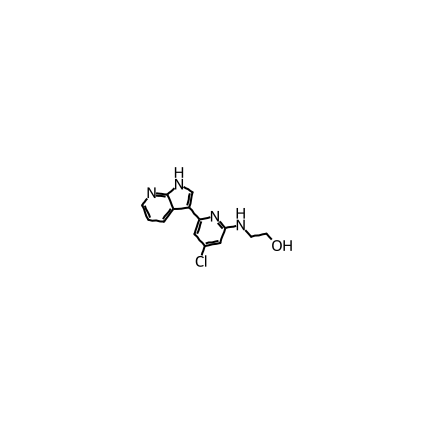 OCCNc1cc(Cl)cc(-c2c[nH]c3ncccc23)n1